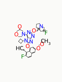 C#Cc1c(F)ccc2cc(OCOC)cc(Oc3nc4nc(OC[C@@]56CCCN5C[C@H](F)C6)nc(N5CCOCC(=O)C5)c4n3C3CCC3)c12